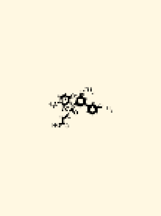 COc1cccc(-c2cc(OC)cc(N(C(=O)NCCC(=O)O)[C@H]3C(=O)C=CN(C)C3=O)c2)c1